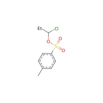 CCC(Cl)OS(=O)(=O)c1ccc(C)cc1